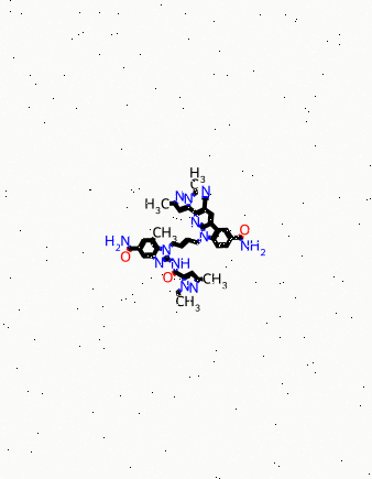 CCn1nc(C)cc1C(=O)Nc1nc2cc(C(N)=O)cc(C)c2n1CC=CCn1c2ccc(C(N)=O)cc2c2cc(C#N)c(-c3cc(C)nn3CC)nc21